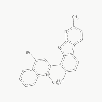 Cc1ccc2c(n1)oc1c(-c3cc(C(C)C)c4ccccc4[n+]3C)c(C)ccc12